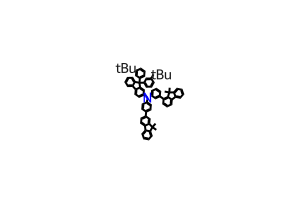 CC(C)(C)c1cccc(C2(c3cccc(C(C)(C)C)c3)c3ccccc3-c3ccc(N(c4ccc(-c5ccc6c(c5)C(C)(C)c5ccccc5-6)cc4)c4cccc(-c5cccc6c5C(C)(C)c5ccccc5-6)c4)cc32)c1